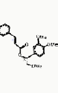 COC[C@H](OC(=O)/C=C/c1ccccc1)c1ccc(OC)c(OC)c1